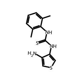 Cc1cccc(C)c1NC(=S)Nc1cscc1N